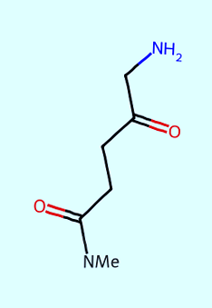 CNC(=O)CCC(=O)CN